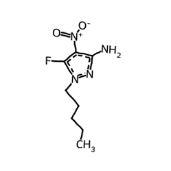 CCCCCn1nc(N)c([N+](=O)[O-])c1F